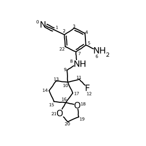 N#Cc1ccc(N)c(NCC2(CF)CCCC3(C2)OCCO3)c1